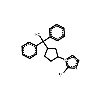 Cc1nccn1C1CCC(C(C#N)(c2ccccc2)c2ccccc2)C1